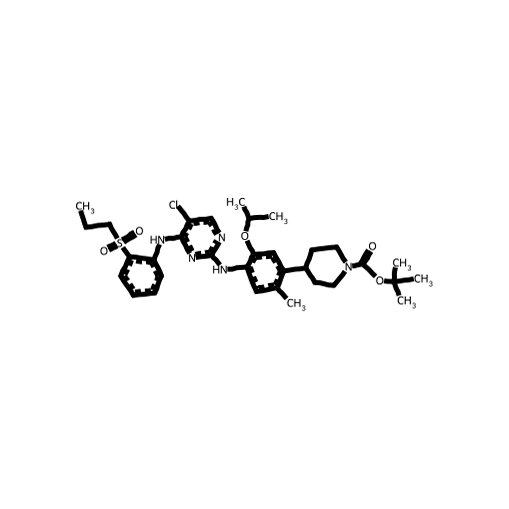 CCCS(=O)(=O)c1ccccc1Nc1nc(Nc2cc(C)c(C3CCN(C(=O)OC(C)(C)C)CC3)cc2OC(C)C)ncc1Cl